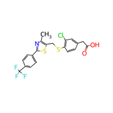 Cc1nc(-c2ccc(C(F)(F)F)cc2)sc1CSc1ccc(CC(=O)O)cc1Cl